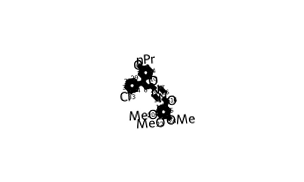 CCCOc1cccc(/C(=C\C(=O)N2CCN(C(=O)c3cc(OC)c(OC)c(OC)c3)CC2)c2cccc(Cl)c2)c1